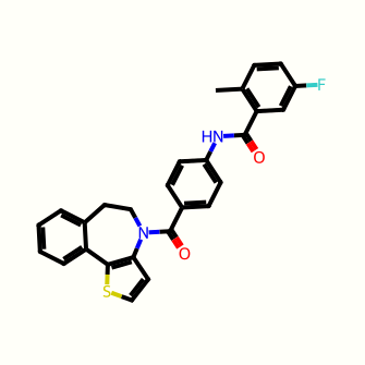 Cc1ccc(F)cc1C(=O)Nc1ccc(C(=O)N2CCc3ccccc3-c3sccc32)cc1